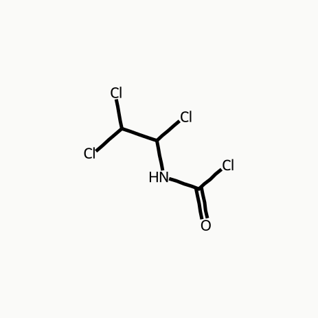 O=C(Cl)NC(Cl)C(Cl)Cl